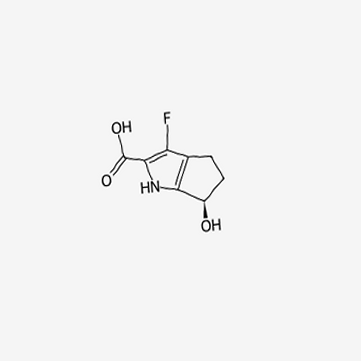 O=C(O)c1[nH]c2c(c1F)CC[C@H]2O